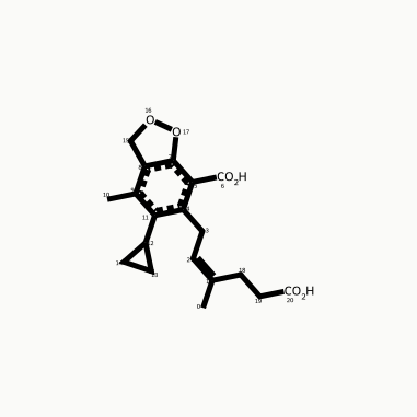 CC(=CCc1c(C(=O)O)c2c(c(C)c1C1CC1)COO2)CCC(=O)O